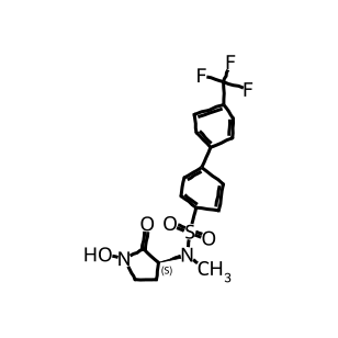 CN([C@H]1CCN(O)C1=O)S(=O)(=O)c1ccc(-c2ccc(C(F)(F)F)cc2)cc1